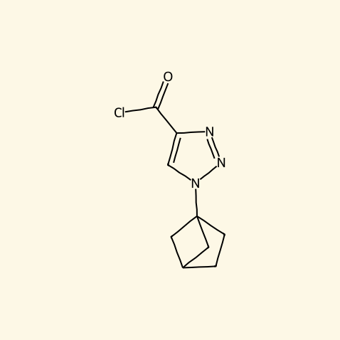 O=C(Cl)c1cn(C23CCC(C2)C3)nn1